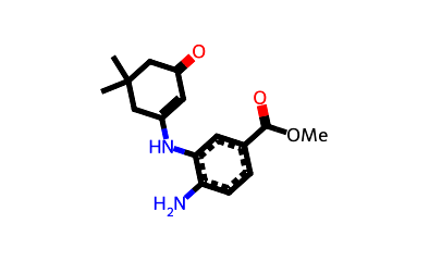 COC(=O)c1ccc(N)c(NC2=CC(=O)CC(C)(C)C2)c1